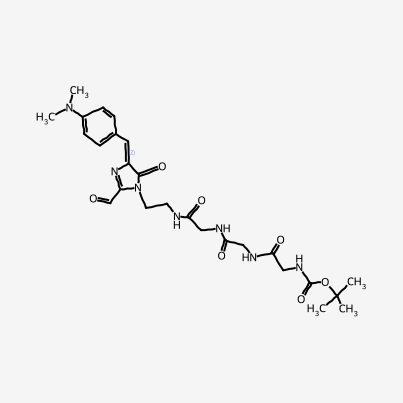 CN(C)c1ccc(/C=C2\N=C(C=O)N(CCNC(=O)CNC(=O)CNC(=O)CNC(=O)OC(C)(C)C)C2=O)cc1